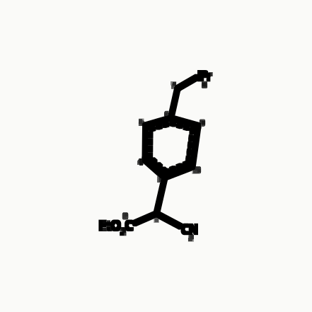 CCOC(=O)C(C#N)c1ccc(CC(C)C)cc1